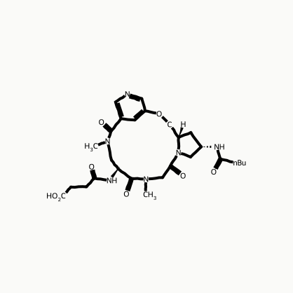 CCCCC(=O)N[C@H]1C[C@H]2COc3cncc(c3)C(=O)N(C)C[C@H](NC(=O)CCC(=O)O)C(=O)N(C)CC(=O)N2C1